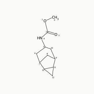 COC(=O)NC1CC2CC(C1)C1CC21